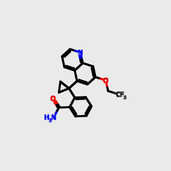 NC(=O)c1ccccc1C1(c2cc(OCC(F)(F)F)cc3ncccc23)CC1